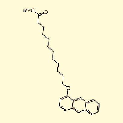 COC(=O)CCCCCCCCCCCOc1cccc2cc3ccccc3cc12